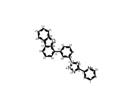 c1ccc(-c2nnn(-c3cccc(-c4cccc5c4oc4ccccc45)c3)n2)nc1